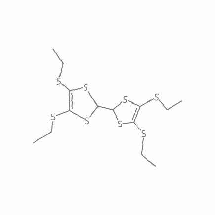 CCSC1=C(SCC)SC(C2SC(SCC)=C(SCC)S2)S1